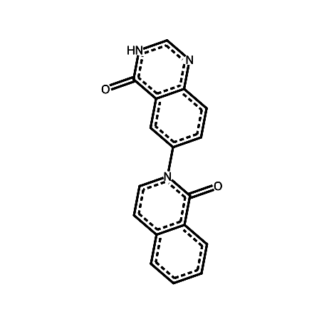 O=c1[nH]cnc2ccc(-n3ccc4ccccc4c3=O)cc12